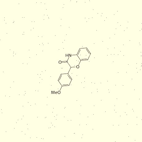 COc1ccc(C2Oc3ccccc3NC2=O)cc1